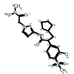 CN(C)C(=O)Cn1ccc(NC(=O)C(CC2CCCC2)c2ccc(S(C)(=O)=O)c(Cl)c2)n1